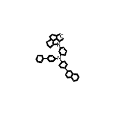 c1ccc(-c2ccc(N(c3ccc(-c4ccc5ccccc5c4)cc3)c3cccc(-n4c5cccc6ccc7cccc4c7c65)c3)cc2)cc1